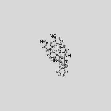 N#Cc1ccc(-c2ccc(Nc3nc(Nc4ccc(-c5ccc(C#N)cc5)cc4)nc(Oc4ccccc4)n3)cc2)cc1